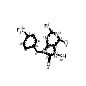 CC(C)c1nc(Cl)c2c(n1)n(Cc1ccc(C(F)(F)F)cc1)c(=O)n2S